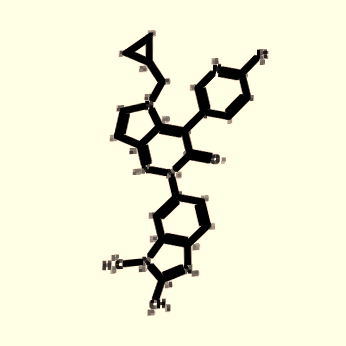 CCc1ccc(-c2c(=O)n(-c3ccc4nc(C)n(C)c4c3)nc3ccn(CC4CC4)c23)cn1